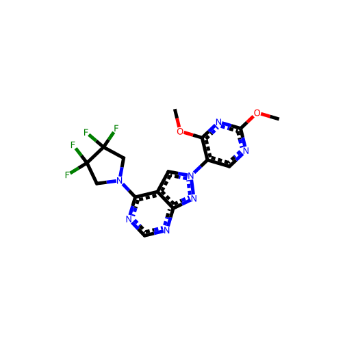 COc1ncc(-n2cc3c(N4CC(F)(F)C(F)(F)C4)ncnc3n2)c(OC)n1